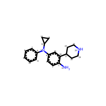 Nc1ccc(N(c2ccccc2)C2CC2)cc1C1CCNCC1